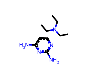 CCN(CC)CC.Nc1ccnc(N)n1